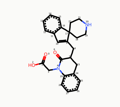 O=C(O)CN1C(=O)C(CC2=Cc3ccccc3C23CCNCC3)Cc2ccccc21